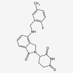 Cc1ccc(F)c(CNc2cccc3c2CN(C2CCC(=O)NC2=O)C3=O)c1